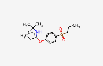 CCCS(=O)(=O)c1ccc(OC(CC)NC(C)(C)C)cc1